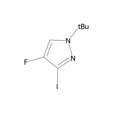 CC(C)(C)n1cc(F)c(I)n1